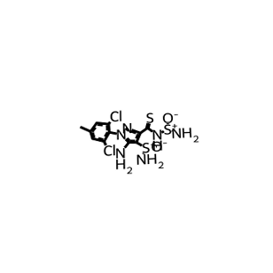 Cc1cc(Cl)c(-n2nc(C(=S)N[S+](N)[O-])c([S+](N)[O-])c2N)c(Cl)c1